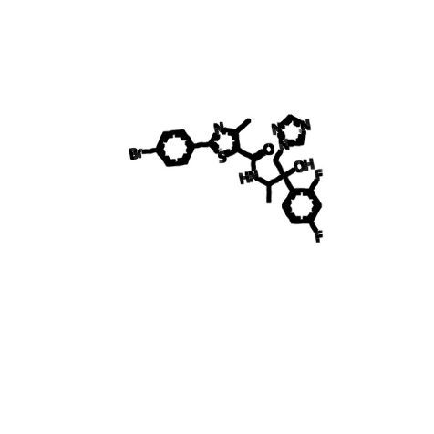 Cc1nc(-c2ccc(Br)cc2)sc1C(=O)NC(C)C(O)(Cn1cncn1)c1ccc(F)cc1F